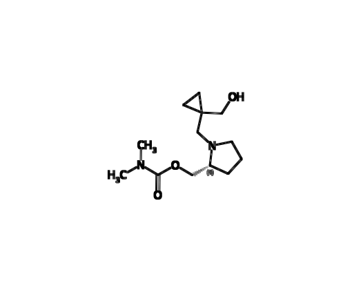 CN(C)C(=O)OC[C@H]1CCCN1CC1(CO)CC1